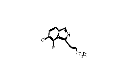 CCOC(=O)/C=C/c1ncn2ccc(Cl)c(F)c12